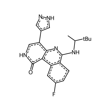 CC(Nc1nc2c(-c3cn[nH]c3)c[nH]c(=O)c2c2cc(F)ccc12)C(C)(C)C